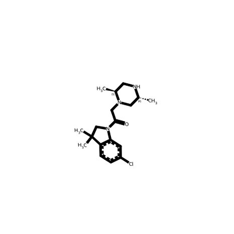 C[C@@H]1CN(CC(=O)N2CC(C)(C)c3ccc(Cl)cc32)[C@@H](C)CN1